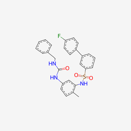 Cc1ccc(NC(=O)NCc2ccccc2)cc1NS(=O)(=O)c1cccc(-c2ccc(F)cc2)c1